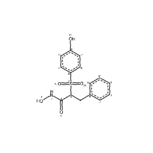 O=C(NO)C(Cc1ccccc1)S(=O)(=O)c1ccc(O)cc1